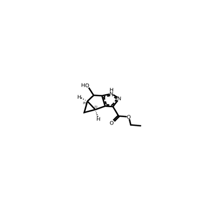 CCOC(=O)c1n[nH]c2c1[C@H]1C[C@H]1C2O